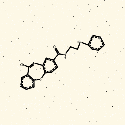 O=C(NCCNc1ccccc1)c1ccc2c(c1)N=C(Cl)c1ccccc1S2